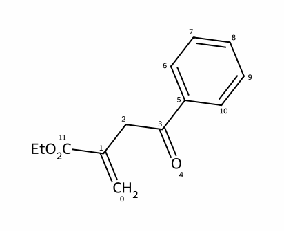 C=C(CC(=O)c1ccccc1)C(=O)OCC